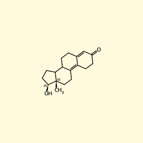 C[C@]12CCC3=C4CCC(=O)C=C4CCC3C1CC[C@@H]2O